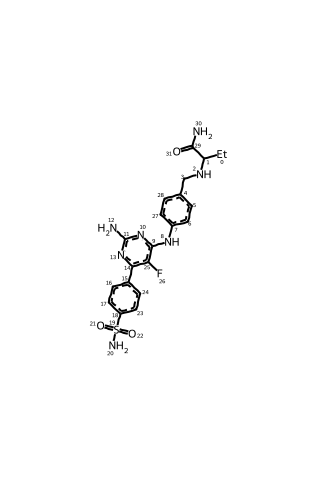 CCC(NCc1ccc(Nc2nc(N)nc(-c3ccc(S(N)(=O)=O)cc3)c2F)cc1)C(N)=O